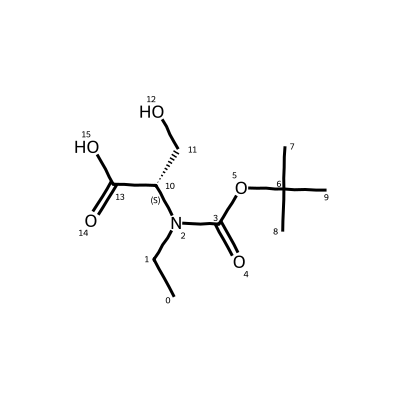 CCN(C(=O)OC(C)(C)C)[C@@H](CO)C(=O)O